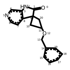 O=C1Nc2cnccc2C12CC(OCc1ccccc1)C2